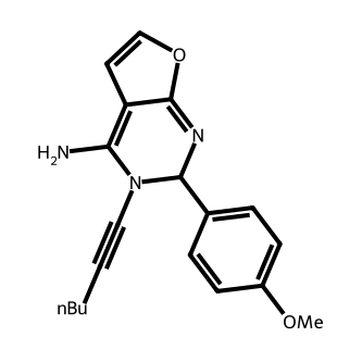 CCCCC#CN1C(N)=c2ccoc2=NC1c1ccc(OC)cc1